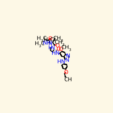 C#CCOc1ccc(Nc2ncnc3cc(OC)c(NC(=O)[C@@H]4CCCN4C(=O)[C@@H](NC(=O)[C@H](C)NC)C(C)(C)C)cc23)cc1